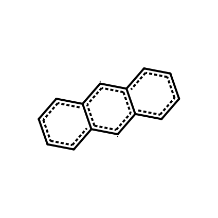 [c]1c2ccccc2[c]c2ccccc12